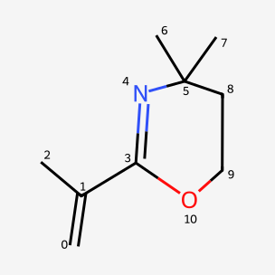 C=C(C)C1=NC(C)(C)CCO1